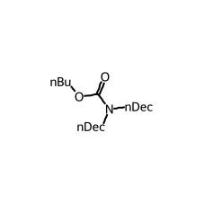 CCCCCCCCCCN(CCCCCCCCCC)C(=O)OCCCC